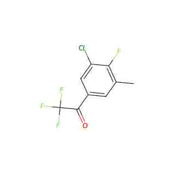 Cc1cc(C(=O)C(F)(F)F)cc(Cl)c1F